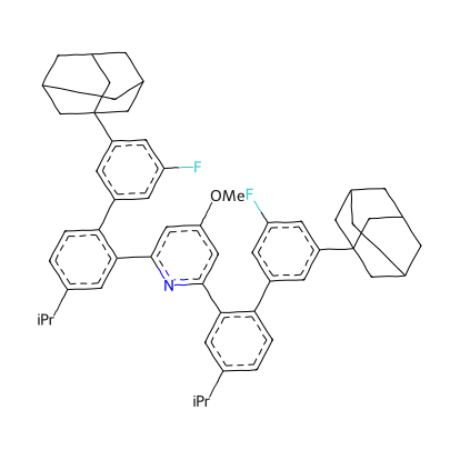 COc1cc(-c2cc(C(C)C)ccc2-c2cc(F)cc(C34CC5CC(CC(C5)C3)C4)c2)nc(-c2cc(C(C)C)ccc2-c2cc(F)cc(C34CC5CC(CC(C5)C3)C4)c2)c1